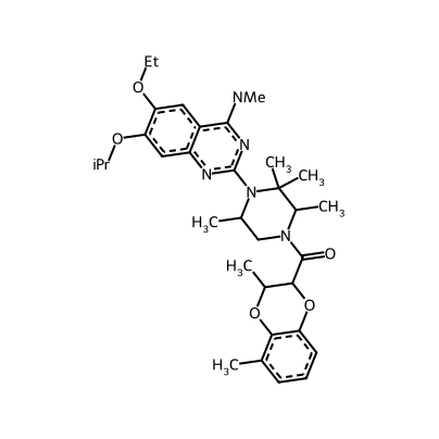 CCOc1cc2c(NC)nc(N3C(C)CN(C(=O)C4Oc5cccc(C)c5OC4C)C(C)C3(C)C)nc2cc1OC(C)C